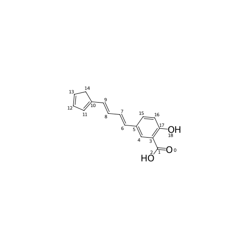 O=C(O)c1cc(/C=C/C=C/C2=CC=CC2)ccc1O